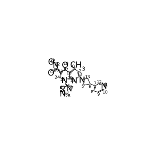 Cc1cc(N2CC(c3cccnc3)C2)nc2c1c(=O)c(C(=O)N=O)cn2-c1ncns1